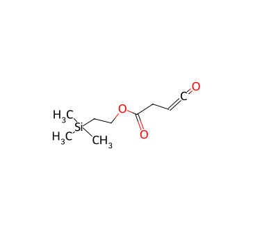 C[Si](C)(C)CCOC(=O)CC=C=O